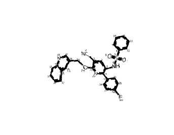 N#Cc1cc(NS(=O)(=O)c2ccccc2)c(-c2ccc(F)cc2)nc1OCc1cnc2ccccc2c1